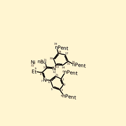 CCCCCc1cc(CCCCC)cc(N=C(CC)C(CCCC)=Nc2cc(CCCCC)cc(CCCCC)c2)c1.[Ni]